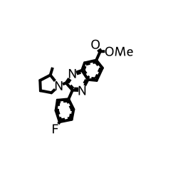 COC(=O)c1ccc2nc(-c3ccc(F)cc3)c(N3CCCC3C)nc2c1